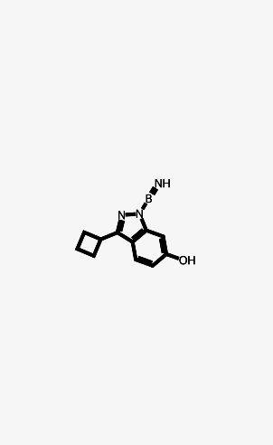 N=Bn1nc(C2CCC2)c2ccc(O)cc21